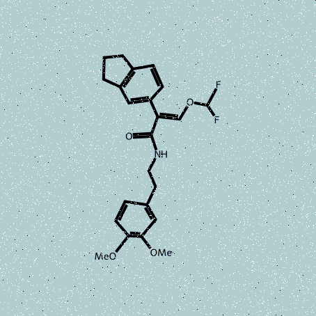 COc1ccc(CCNC(=O)/C(=C/OC(F)F)c2ccc3c(c2)CCC3)cc1OC